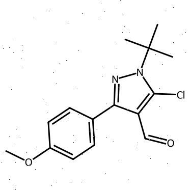 COc1ccc(-c2nn(C(C)(C)C)c(Cl)c2C=O)cc1